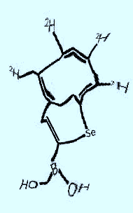 [2H]c1c([2H])c([2H])c2[se]c(B(O)O)cc2c1[2H]